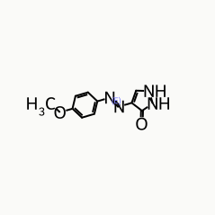 COc1ccc(/N=N/c2c[nH][nH]c2=O)cc1